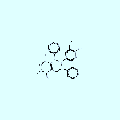 COC(=O)C1=C(C(=O)O)N(c2ccccc2)C(c2ccc(O)c(OC)c2)N(c2ccccc2)C1